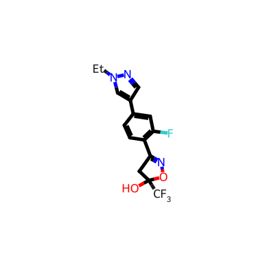 CCn1cc(-c2ccc(C3=NOC(O)(C(F)(F)F)C3)c(F)c2)cn1